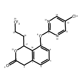 O=C1Cc2cccc(Oc3ncc(Cl)cn3)c2C(CCC(F)(F)F)O1